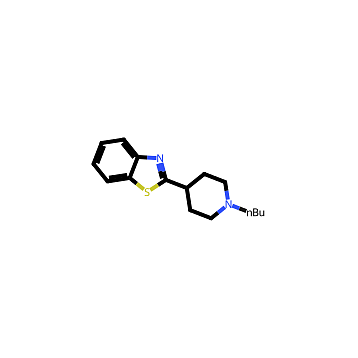 [CH2]CCCN1CCC(c2nc3ccccc3s2)CC1